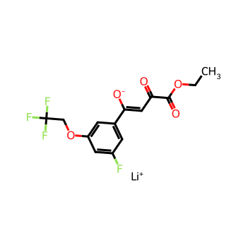 CCOC(=O)C(=O)C=C([O-])c1cc(F)cc(OCC(F)(F)F)c1.[Li+]